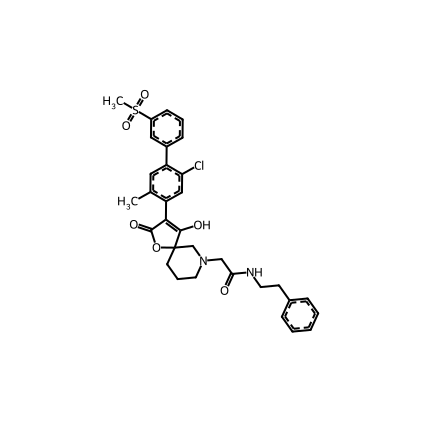 Cc1cc(-c2cccc(S(C)(=O)=O)c2)c(Cl)cc1C1=C(O)C2(CCCN(CC(=O)NCCc3ccccc3)C2)OC1=O